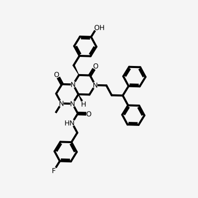 CN1CC(=O)N2[C@@H](Cc3ccc(O)cc3)C(=O)N(CCC(c3ccccc3)c3ccccc3)C[C@@H]2N1C(=O)NCc1ccc(F)cc1